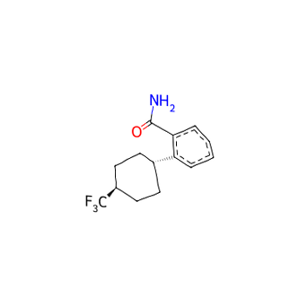 NC(=O)c1ccccc1[C@H]1CC[C@H](C(F)(F)F)CC1